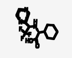 O=C(O)[C@@H](NC(c1cnccn1)C(F)(F)F)C1CCCCC1